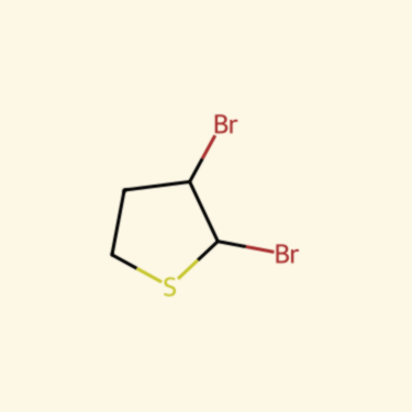 BrC1CCSC1Br